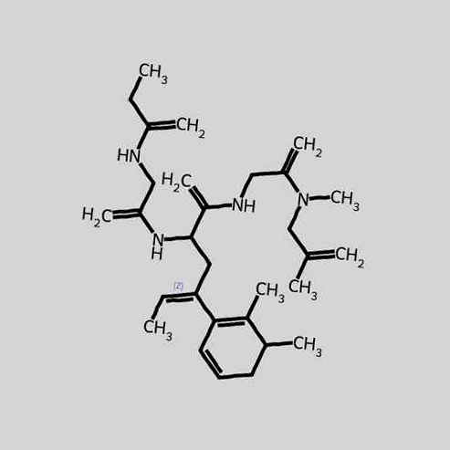 C=C(C)CN(C)C(=C)CNC(=C)C(C/C(=C/C)C1=C(C)C(C)CC=C1)NC(=C)CNC(=C)CC